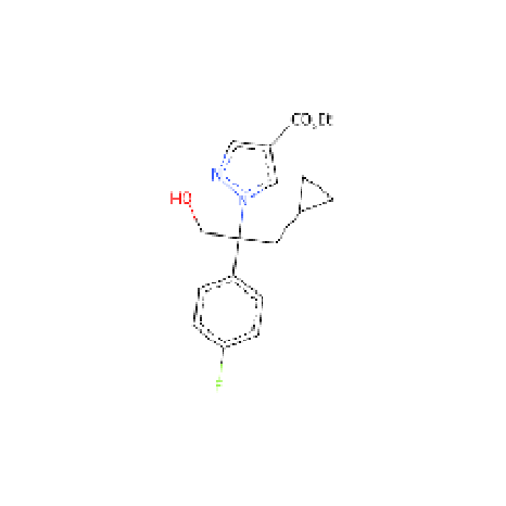 CCOC(=O)c1cnn(C(CO)(CC2CC2)c2ccc(F)cc2)c1